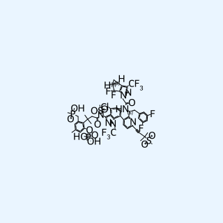 Cc1cc(CP(C)(=O)O)c(C(C)(C)CC(=O)N(c2nn(CC(F)(F)F)c3c(-c4ccc(C#CC(C)(C)S(C)(=O)=O)nc4[C@H](Cc4cc(F)cc(F)c4)NC(=O)Cn4nc(C(F)(F)F)c5c4C(F)(F)[C@@H]4C[C@H]54)ccc(Cl)c23)S(C)(=O)=O)c(OP(=O)(O)O)c1